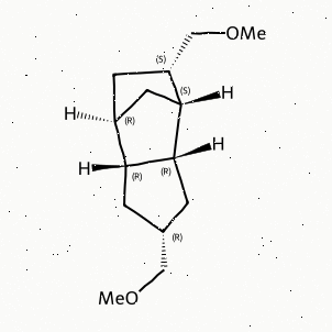 COC[C@H]1C[C@@H]2[C@H](C1)[C@H]1C[C@H](COC)[C@H]2C1